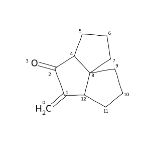 C=C1C(=O)C2CCCC23CCCC13